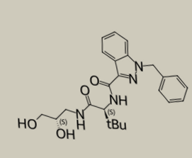 CC(C)(C)[C@H](NC(=O)c1nn(Cc2ccccc2)c2ccccc12)C(=O)NC[C@H](O)CO